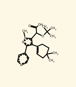 Cn1nc(-c2ccncc2)c(C2=CCC(C)(C)CC2)c1C(OC(C)(C)C)C(=O)O